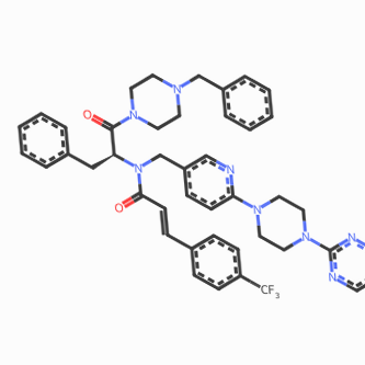 O=C([C@H](Cc1ccccc1)N(Cc1ccc(N2CCN(c3ncccn3)CC2)nc1)C(=O)/C=C/c1ccc(C(F)(F)F)cc1)N1CCN(Cc2ccccc2)CC1